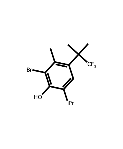 Cc1c(C(C)(C)C(F)(F)F)cc(C(C)C)c(O)c1Br